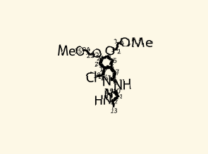 COCCOc1cc2cc(Nc3cc(C)[nH]n3)nc(Cl)c2cc1OCCOC